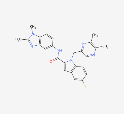 Cc1ncc(Cn2c(C(=O)Nc3ccc4c(c3)nc(C)n4C)cc3cc(F)ccc32)nc1C